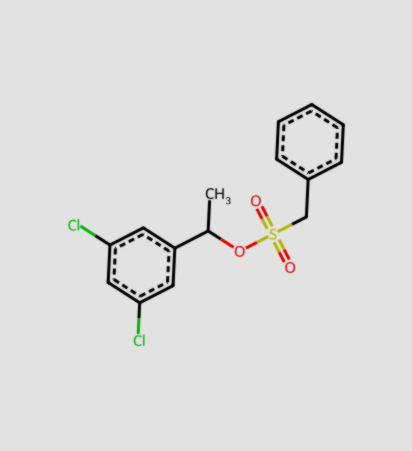 CC(OS(=O)(=O)Cc1ccccc1)c1cc(Cl)cc(Cl)c1